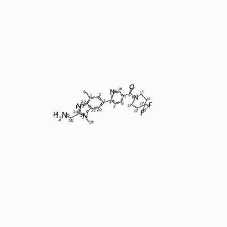 Cc1cc(-c2ccc(C(=O)N3CCC(F)(F)CC3)cn2)cc2c1nc(CN)n2C